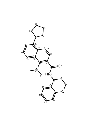 CN(C)c1c(C(=O)NC2CCOc3ccccc32)cnc2c(C3CCCC3)cccc12